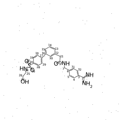 N=C(N)c1ccc(CNC(=O)Cc2cccc(-c3ccc(S(=O)(=O)NCCO)cc3)c2)cc1